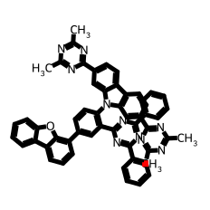 Cc1nc(C)nc(-c2ccc3c4ccc(-c5nc(C)nc(C)n5)cc4n(-c4ccc(-c5cccc6c5oc5ccccc56)cc4-c4nc(-c5ccccc5)nc(-c5ccccc5)n4)c3c2)n1